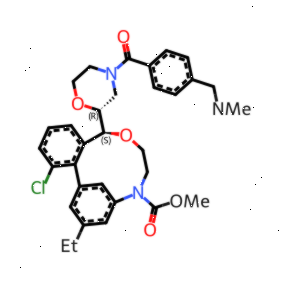 CCc1cc2cc(c1)N(C(=O)OC)CCO[C@H]([C@H]1CN(C(=O)c3ccc(CNC)cc3)CCO1)c1cccc(Cl)c1-2